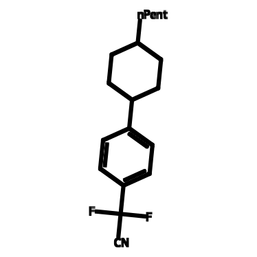 CCCCCC1CCC(c2ccc(C(F)(F)C#N)cc2)CC1